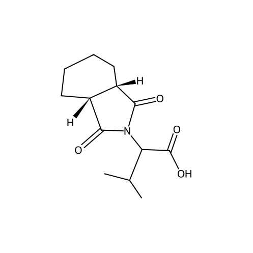 CC(C)C(C(=O)O)N1C(=O)[C@H]2CCCC[C@H]2C1=O